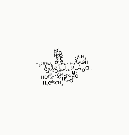 COc1cc([C@@H]2c3cc4c(cc3[C@@H](O[C@@H]3O[C@@H]5CO[C@@H](C)O[C@H]5[C@H](O)[C@H]3N(C)C)[C@H]3COC(=O)[C@H]23)OCO4)cc(OC)c1O.Cl.O.O